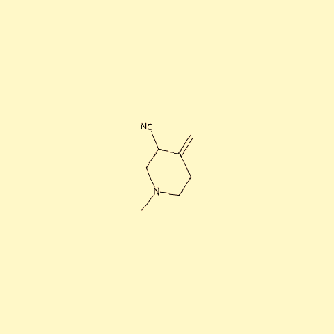 C=C1CCN(C)CC1C#N